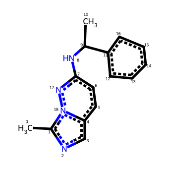 Cc1ncc2ccc(NC(C)c3ccccc3)nn12